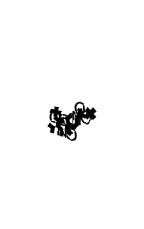 CC(C)[C@@H](C(=O)OC(C)(C)C)N(C)C(=O)C1(F)CCN(C(=O)OC(C)(C)C)CC1